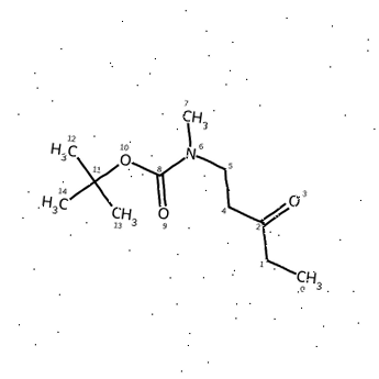 CCC(=O)CCN(C)C(=O)OC(C)(C)C